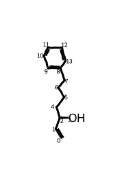 C=CC(O)CCCCc1ccccc1